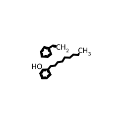 C=Cc1ccccc1.CCCCCCCCCc1ccccc1O